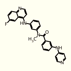 CN(C(=O)c1cccc(Nc2ccncc2)c1)c1cccc(Nc2ccnc3ccc(F)cc23)c1